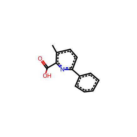 Cc1ccc(-c2ccccc2)nc1C(=O)O